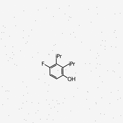 CC(C)c1c(O)ccc(F)c1C(C)C